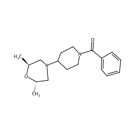 C[C@H]1CN(C2CCN(C(=O)c3ccccc3)CC2)C[C@H](C)O1